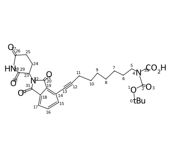 CC(C)(C)OC(=O)N(CCCCCCCC#Cc1cccc2c1C(=O)N(C1CCC(=O)NC1=O)C2=O)C(=O)O